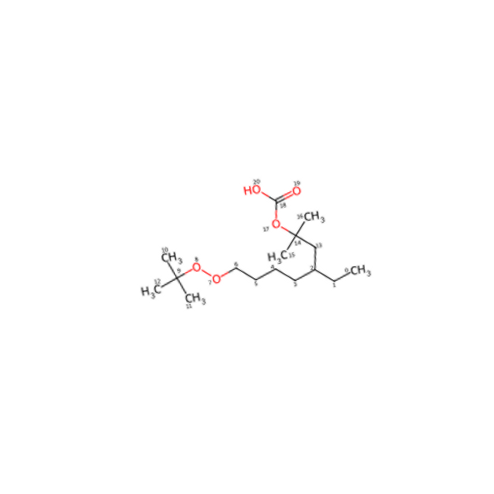 CCC(CCCCOOC(C)(C)C)CC(C)(C)OC(=O)O